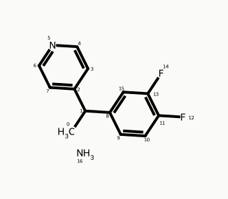 CC(c1ccncc1)c1ccc(F)c(F)c1.N